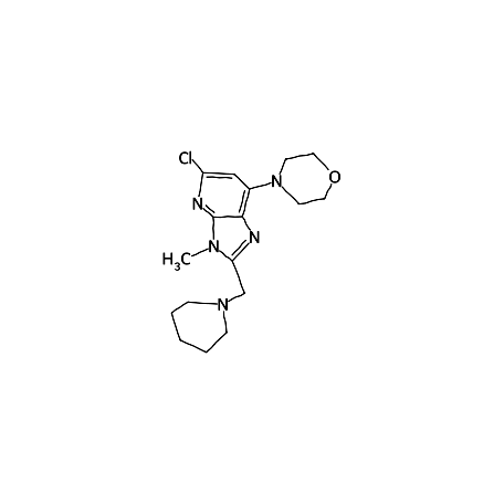 Cn1c(CN2CCCCC2)nc2c(N3CCOCC3)cc(Cl)nc21